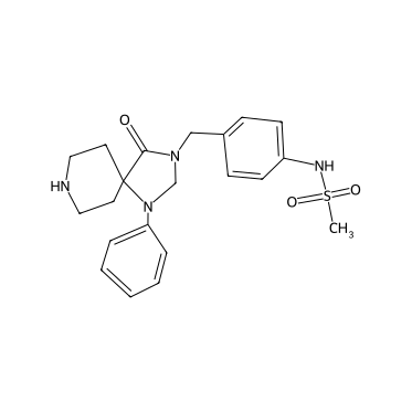 CS(=O)(=O)Nc1ccc(CN2CN(c3ccccc3)C3(CCNCC3)C2=O)cc1